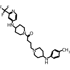 Cc1ccc(NC2CCN(CCCC(=O)N3CCC(Nc4ccnc(C(F)(F)F)c4)CC3)CC2)cc1